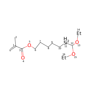 C=C(C)C(=O)OCCCCC[SiH2]C(OCC)OCC